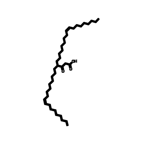 CCCCCCCC/C=C\CCCCCCCCC(CCCCCCCC/C=C\CCCCCCCC)C(=O)CC(=O)O